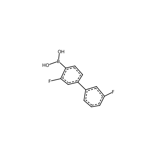 OB(O)c1ccc(-c2cccc(F)c2)cc1F